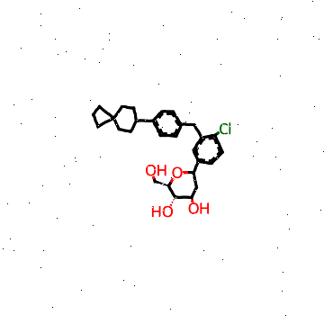 OC[C@H]1OC(c2ccc(Cl)c(Cc3ccc(C4CCC5(CCC5)CC4)cc3)c2)C[C@@H](O)[C@@H]1O